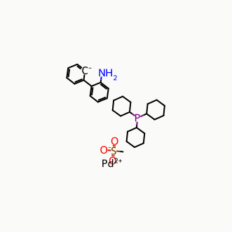 C1CCC(P(C2CCCCC2)C2CCCCC2)CC1.CS(=O)(=O)[O-].Nc1ccccc1-c1[c-]cccc1.[Pd+2]